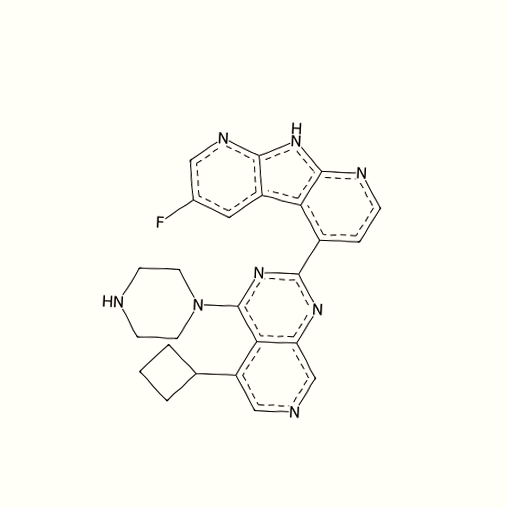 Fc1cnc2[nH]c3nccc(-c4nc(N5CCNCC5)c5c(C6CCC6)cncc5n4)c3c2c1